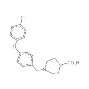 O=C(O)N1CCN(Cc2ccc(Oc3ccc(Cl)cc3)cc2)CC1